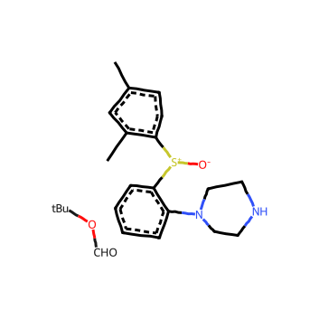 CC(C)(C)OC=O.Cc1ccc([S+]([O-])c2ccccc2N2CCNCC2)c(C)c1